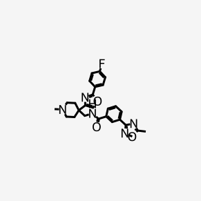 Cc1nc(-c2cccc(C(=O)NCC3(c4coc(-c5ccc(F)cc5)n4)CCN(C)CC3)c2)no1